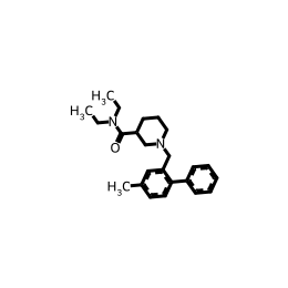 CCN(CC)C(=O)C1CCCN(Cc2cc(C)ccc2-c2ccccc2)C1